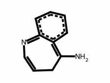 NC1=c2ccccc2=NC=CC1